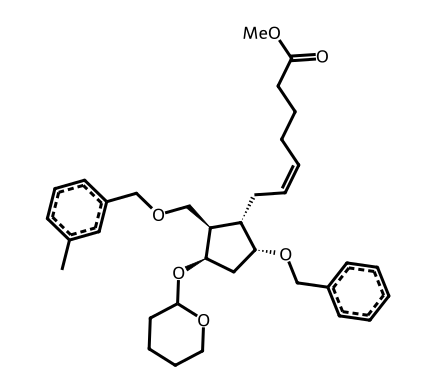 COC(=O)CCC/C=C\C[C@H]1[C@H](COCc2cccc(C)c2)[C@H](OC2CCCCO2)C[C@H]1OCc1ccccc1